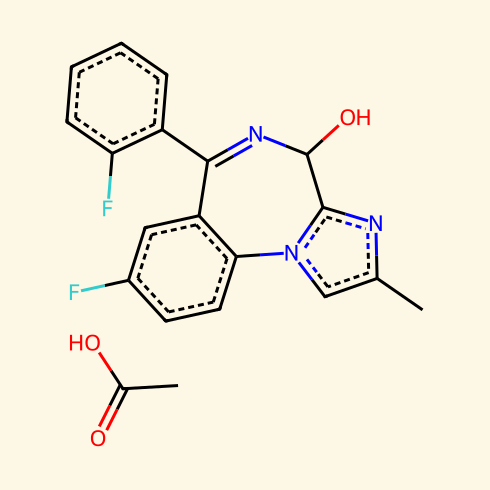 CC(=O)O.Cc1cn2c(n1)C(O)N=C(c1ccccc1F)c1cc(F)ccc1-2